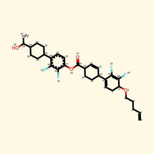 C=CCCCOC1CC=C(C2C=CC(C(=O)Oc3ccc(C4CCC(C(O)CCC)CC4)c(F)c3F)CC2)C(F)=C1F